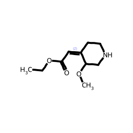 CCOC(=O)/C=C1/CCNCC1OC